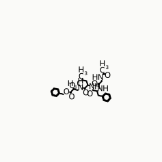 CC(=O)NCC(=O)NC(Cc1ccccc1)C(=O)NC(CC(C)C)C(=O)NCC(=O)C(=O)OCc1ccccc1